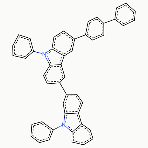 c1ccc(-c2ccc(-c3ccc4c(c3)c3cc(-c5ccc6c7ccccc7n(-c7ccccc7)c6c5)ccc3n4-c3ccccc3)cc2)cc1